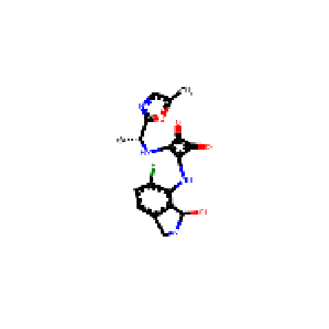 Cc1cnc([C@H](Nc2c(Nc3c(F)ccc4c3C(O)NC4)c(=O)c2=O)C(C)(C)C)o1